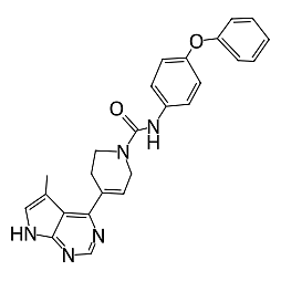 Cc1c[nH]c2ncnc(C3=CCN(C(=O)Nc4ccc(Oc5ccccc5)cc4)CC3)c12